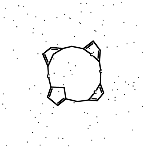 C1=C2CC(=C1)CC1=CC=C(C1)CC1=CC=C(C1)CC1=CC=C(C1)C2